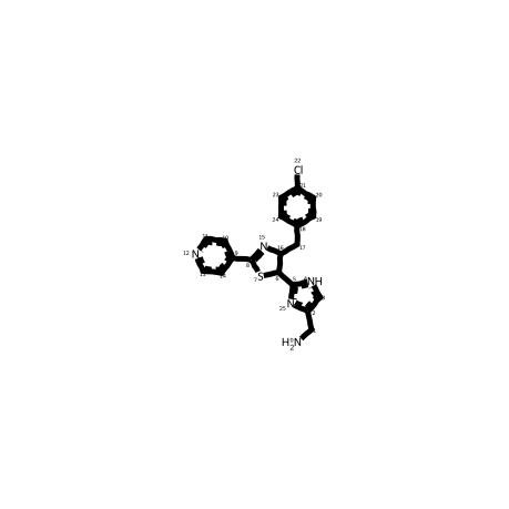 NCc1c[nH]c(C2SC(c3ccncc3)=NC2Cc2ccc(Cl)cc2)n1